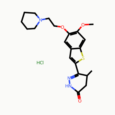 COc1cc2sc(C3=NNC(=O)CC3C)cc2cc1OCCN1CCCCC1.Cl